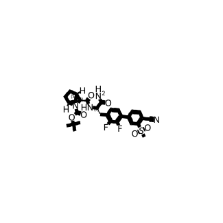 CC(C)(C)OC(=O)N1[C@@H]2CC[C@@H](C2)[C@H]1C(=O)N[C@@H](Cc1ccc(-c2ccc(C#N)c(S(C)(=O)=O)c2)c(F)c1F)C(N)=O